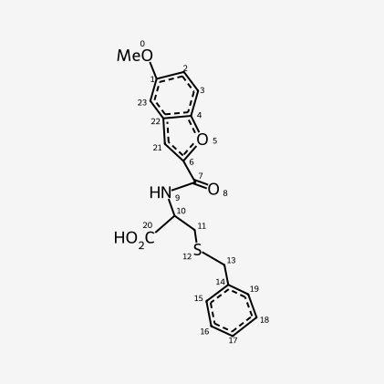 COc1ccc2oc(C(=O)NC(CSCc3ccccc3)C(=O)O)cc2c1